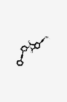 CC#Cc1ccc2c(c1)C(=O)N(c1cccc(C#Cc3ccccc3)c1)C2=O